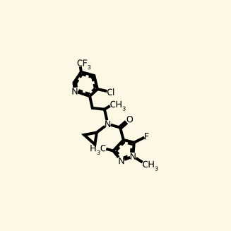 Cc1nn(C)c(F)c1C(=O)N(C(C)Cc1ncc(C(F)(F)F)cc1Cl)C1CC1